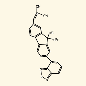 CCCC1(CCC)c2cc(C=C(C#N)C#N)ccc2-c2ccc(-c3cccc4nsnc34)cc21